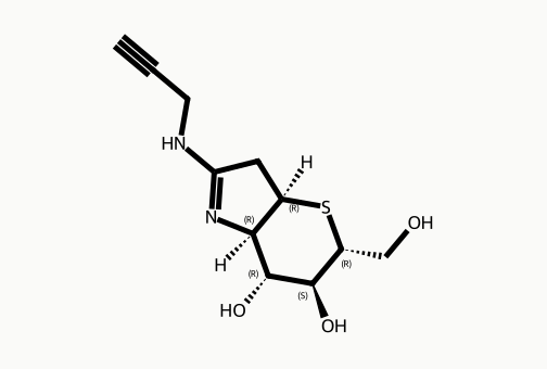 C#CCNC1=N[C@@H]2[C@@H](O)[C@H](O)[C@@H](CO)S[C@@H]2C1